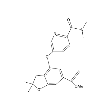 C=C(OC)c1cc(Oc2ccc(C(=O)N(C)C)nc2)c2c(c1)OC(C)(C)C2